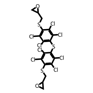 Clc1c(Cl)c(Sc2c(Cl)c(Cl)c(SCC3CO3)c(Cl)c2Cl)c(Cl)c(Cl)c1SCC1CO1